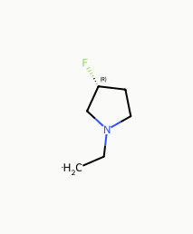 [CH2]CN1CC[C@@H](F)C1